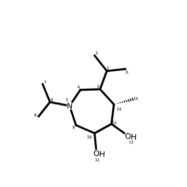 CC(C)C1CN(C(C)C)CC(O)C(O)[C@H]1C